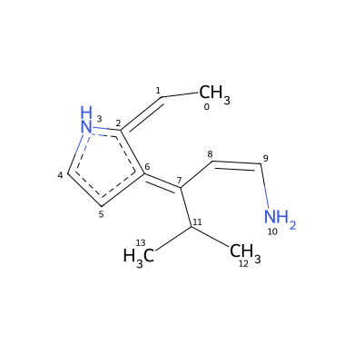 C/C=c1/[nH]cc/c1=C(/C=C\N)C(C)C